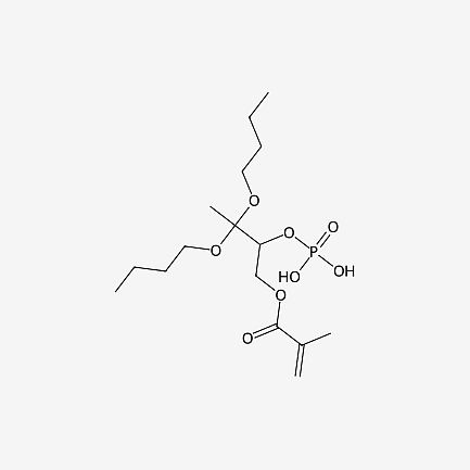 C=C(C)C(=O)OCC(OP(=O)(O)O)C(C)(OCCCC)OCCCC